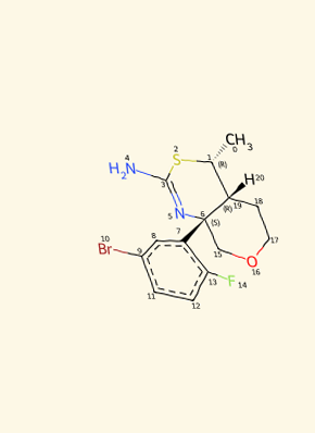 C[C@H]1SC(N)=N[C@@]2(c3cc(Br)ccc3F)COCC[C@@H]12